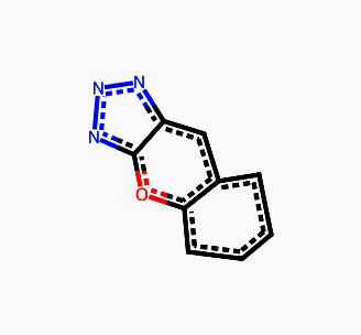 c1ccc2oc3nnnc-3cc2c1